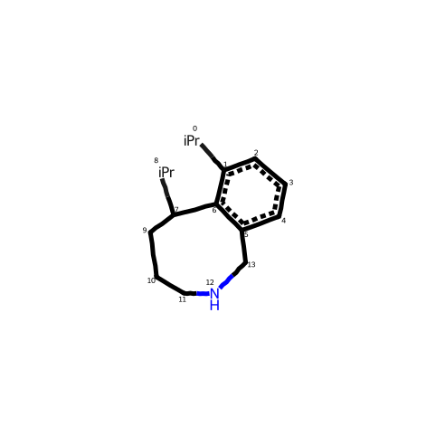 CC(C)c1cccc2c1C(C(C)C)CCCNC2